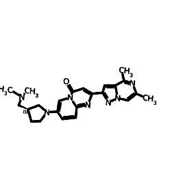 Cc1cn2nc(-c3cc(=O)n4cc(N5CC[C@@H](CN(C)C)C5)ccc4n3)cc2c(C)n1